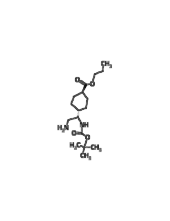 CCCOC(=O)[C@H]1CC[C@H](C(CN)NC(=O)OC(C)(C)C)CC1